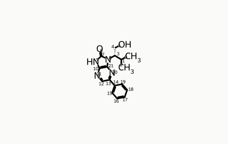 CC(C)[C@@H](CO)n1c(=O)[nH]c2ncc(-c3ccccc3)nc21